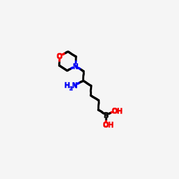 NC(CCCCB(O)O)CN1CCOCC1